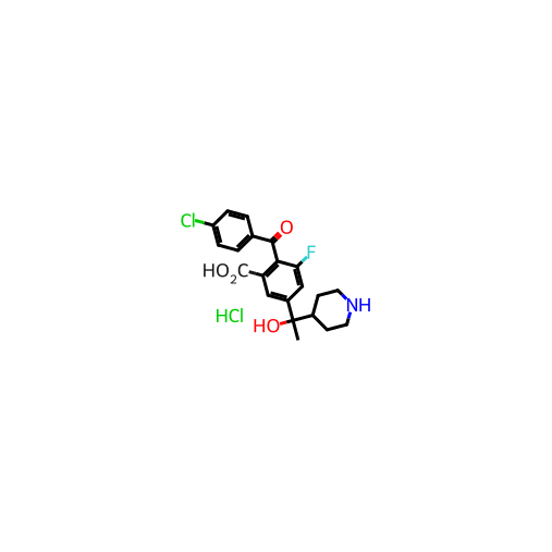 CC(O)(c1cc(F)c(C(=O)c2ccc(Cl)cc2)c(C(=O)O)c1)C1CCNCC1.Cl